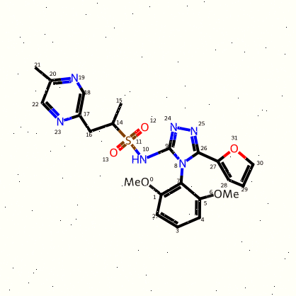 COc1cccc(OC)c1-n1c(NS(=O)(=O)C(C)Cc2cnc(C)cn2)nnc1-c1ccco1